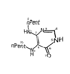 CCCCCNc1nc[nH]c(=O)c1NCCCCC